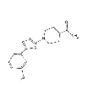 CSc1cccc(-c2cnc(N3CCC(C(N)=O)CC3)s2)c1